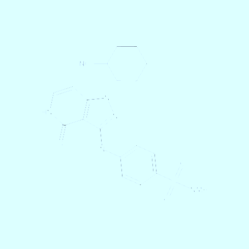 CNS(=O)(=O)c1ccc(Nc2nn([C@H]3CCCCC3C#N)c3cc[nH]c(=O)c23)cc1